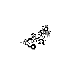 CC[C@H](C)[C@@H]([C@@H](CC(=O)N1CCC[C@H]1[C@H](OC)[C@@H](C)C(=O)N[C@H](CO)Cc1ccccc1)OC)N(C)C(=O)[C@@H](NC(=O)[C@@H](NC)[C@@H](C)O)C(C)C